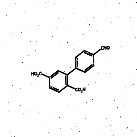 O=Cc1ccc(-c2cc(C(=O)O)ccc2C(=O)O)cc1